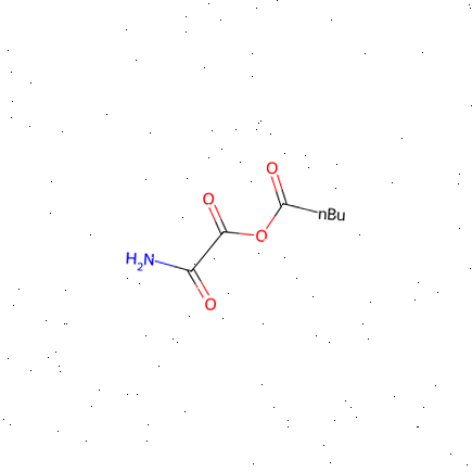 CCCCC(=O)OC(=O)C(N)=O